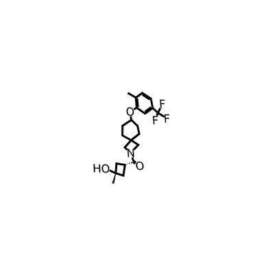 Cc1ccc(C(F)(F)F)cc1OC1CCC2(CC1)CN(C(=O)[C@H]1C[C@@](C)(O)C1)C2